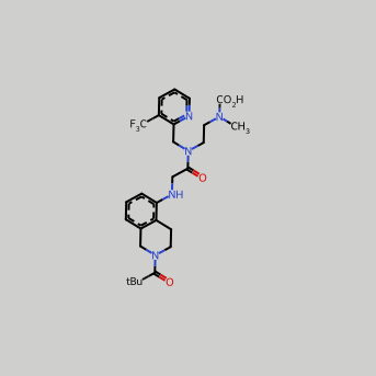 CN(CCN(Cc1ncccc1C(F)(F)F)C(=O)CNc1cccc2c1CCN(C(=O)C(C)(C)C)C2)C(=O)O